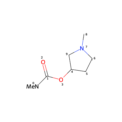 CNC(=O)OC1C[CH]N(C)C1